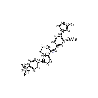 COc1cc(/C=C2\OCCN3C2=NCN3c2ccc(S(F)(F)(F)(F)F)cc2)ccc1-n1cnc(C)c1